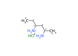 CCC(N)CC(C)N.Cl